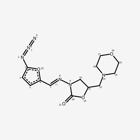 [N-]=[N+]=Nc1ccc(/C=N/N2CC(CN3CCOCC3)OC2=O)o1